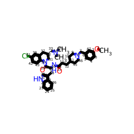 COc1cccc(CN2CCC(CCC(=O)N[C@H](Cc3c[nH]c4ccccc34)C(=O)N3C[C@@H](CN(C)C)Cc4cc(Cl)ccc43)CC2)c1